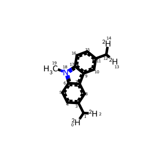 [2H]C([2H])c1ccc2c(c1)c1cc(C([2H])[2H])ccc1n2C